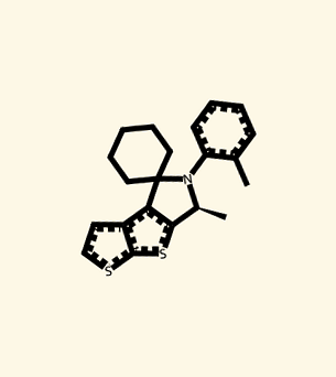 Cc1ccccc1N1[C@@H](C)c2sc3sccc3c2C12CCCCC2